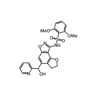 COc1cccc(OC)c1S(=O)(=O)Nc1noc2cc(C(O)c3ccccn3)c3c(c12)OCC3